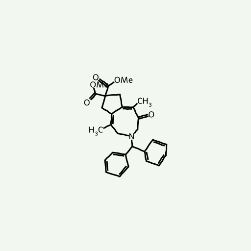 COC(=O)C1(C(=O)OC)CC2=C(\C)CN(C(c3ccccc3)c3ccccc3)CC(=O)/C(C)=C\2C1